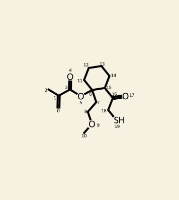 C=C(C)C(=O)OC1(CCOC)CCCCC1C(=O)CS